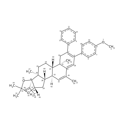 COc1ccc(C2=C(c3ccccc3)C[C@@]3(C)C(=C2)C(C)=C[C@@H]2[C@@H]3CC[C@@]3(C)[C@H]2C[C@@H]2OC(C)(C)O[C@]23C(C)=O)cc1